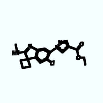 CCOC(=O)c1cnn(-c2cc3c(cc2Cl)C2(CCC2)C(NC)=N3)c1